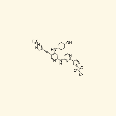 O=S(=O)(C1CC1)n1cc(-c2nccc(Nc3cc(NC4CCC(O)CC4)c(C#Cc4cnn(C(F)(F)F)c4)cn3)n2)cn1